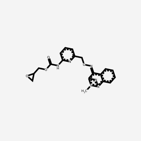 Cn1c2nn1c1ccccc1/c2=N/OCc1cccc(NC(=O)OCC2CO2)n1